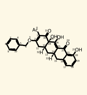 CC(=O)C1=C(OCc2ccccc2)C[C@H]2C[C@H]3Cc4cccc(O)c4C(=O)C3=C(O)[C@@]2(O)C1=O